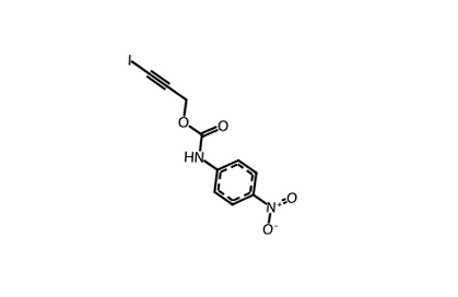 O=C(Nc1ccc([N+](=O)[O-])cc1)OCC#CI